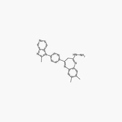 Cc1cc2c(cc1C)N=C(c1ccc(-n3c(C)nc4cnccc43)cc1)CC(NN)=N2